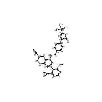 COc1ncnc(C2CC2)c1-c1nc2c(c(NCc3ccc(-c4nc(C(F)(F)F)cn4C)cc3)n1)CN(C#N)CC2